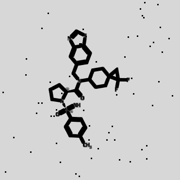 Cc1ccc([S@](=N)(=O)N2CCC[C@H]2C(=O)N(Cc2ccc3scnc3c2)C2CCC3(CC2)CC3(F)F)cc1